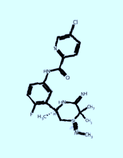 C/N=[Si]1/C[C@@](C)(c2cc(NC(=O)c3ccc(Cl)cn3)ccc2F)NC(=N)C1(C)C